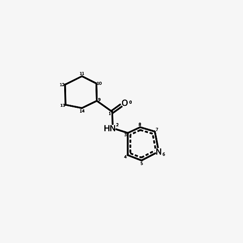 O=C(Nc1ccncc1)C1CCCCC1